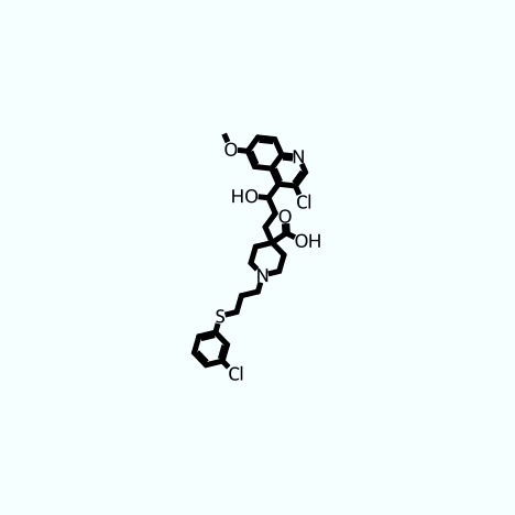 COc1ccc2ncc(Cl)c(C(O)CCC3(C(=O)O)CCN(CCCSc4cccc(Cl)c4)CC3)c2c1